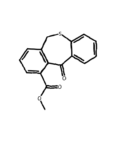 COC(=O)c1cccc2c1C(=O)c1ccccc1SC2